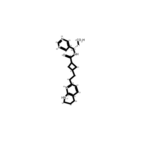 O=C(O)C[C@H](NC(=O)C1CC(CCc2ccc3c(n2)NCCC3)C1)c1cncnc1